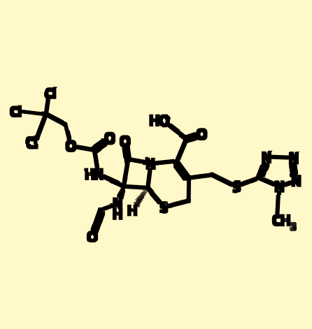 Cn1nnnc1SCC1=C(C(=O)O)N2C(=O)[C@@](NC=O)(NC(=O)OCC(Cl)(Cl)Cl)[C@@H]2SC1